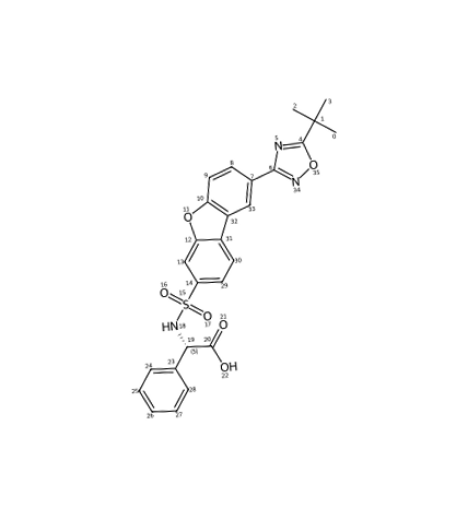 CC(C)(C)c1nc(-c2ccc3oc4cc(S(=O)(=O)N[C@H](C(=O)O)c5ccccc5)ccc4c3c2)no1